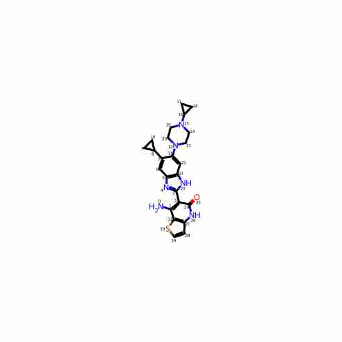 Nc1c(-c2nc3cc(C4CC4)c(N4CCN(C5CC5)CC4)cc3[nH]2)c(=O)[nH]c2ccsc12